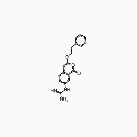 N=C(N)Nc1ccc2cc(OCCc3ccccc3)oc(=O)c2c1